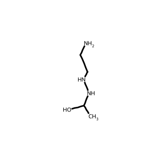 CC(O)NNCCN